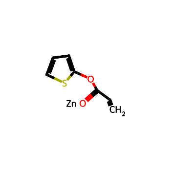 C=CC(=O)Oc1cccs1.[Zn]